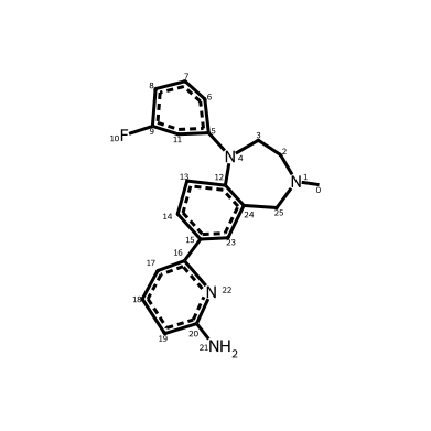 CN1CCN(c2cccc(F)c2)c2ccc(-c3cccc(N)n3)cc2C1